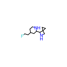 FCCC1CCNC(C2NCC23CC3)C1